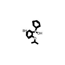 B.CC(C)Oc1ccccc1P(O)c1ccccc1